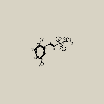 CS(=O)(=O)C=Cc1cc(Cl)ccc1Cl